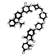 O=C1CCC(N2C(=O)c3ccc(N4CCC(OC5CCN(CC6CC(OC7NCC(c8ccc9c%10cnccc%10n(C(F)F)c9c8)CC7F)C6)CC5)CC4)cc3C2=O)C(=O)N1